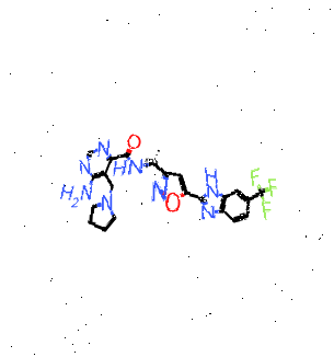 C[C@@H](NC(=O)c1ncnc(N)c1CN1CCCC1)c1cc(-c2nc3ccc(C(F)(F)F)cc3[nH]2)on1